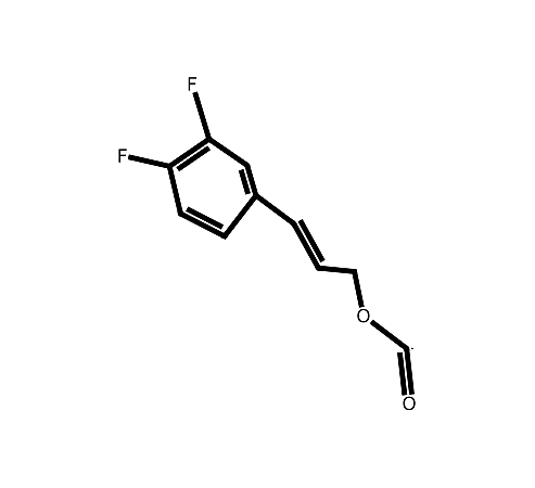 O=[C]OC/C=C/c1ccc(F)c(F)c1